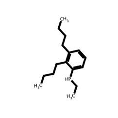 CCCCc1cccc(PCC)c1CCCC